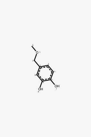 COCc1ccc(O)c(O)c1